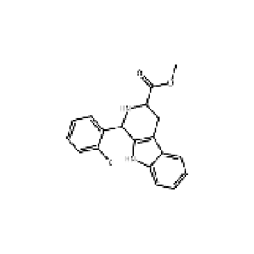 COC(=O)C1Cc2c([nH]c3ccccc23)C(c2ccccc2Cl)N1